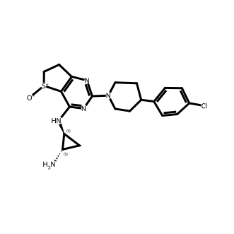 N[C@H]1C[C@@H]1Nc1nc(N2CCC(c3ccc(Cl)cc3)CC2)nc2c1[S+]([O-])CC2